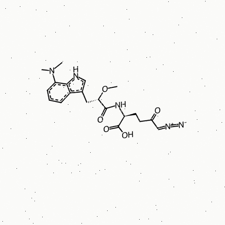 CO[C@@H](Cc1c[nH]c2c(N(C)C)cccc12)C(=O)N[C@@H](CCC(=O)C=[N+]=[N-])C(=O)O